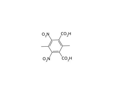 Cc1c(C(=O)O)c([N+](=O)[O-])c(C)c([N+](=O)[O-])c1C(=O)O